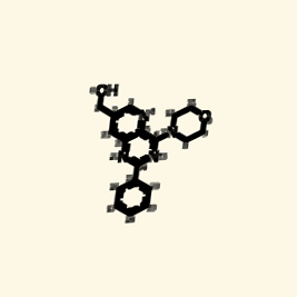 OCc1cnc2c(N3CCOCC3)nc(-c3ccccc3)nc2c1